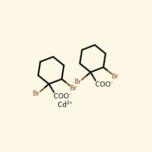 O=C([O-])C1(Br)CCCCC1Br.O=C([O-])C1(Br)CCCCC1Br.[Cd+2]